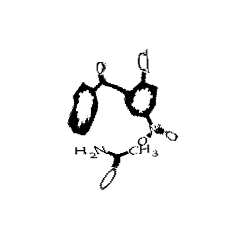 CC(N)=O.O=C(c1ccccc1)c1cc([N+](=O)[O-])ccc1Cl